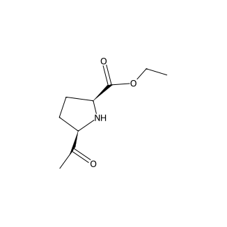 CCOC(=O)[C@@H]1CC[C@H](C(C)=O)N1